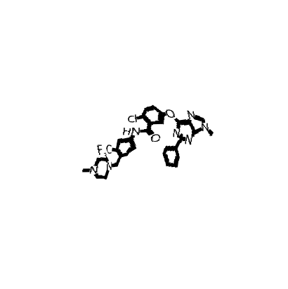 CN1CCN(Cc2ccc(NC(=O)c3cc(Oc4nc(-c5ccccc5)nc5c4ncn5C)ccc3Cl)cc2C(F)(F)F)CC1